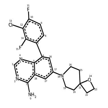 Nc1ncnc2c(-c3ccc(F)c(Cl)c3F)cc(N3CCC4(CCO4)CC3)cc12